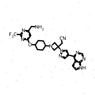 N#CCC1(n2cc(-c3ncnc4[nH]ccc34)cn2)CN(C2CCC(Oc3cc(CN)nc(C(F)(F)F)n3)CC2)C1